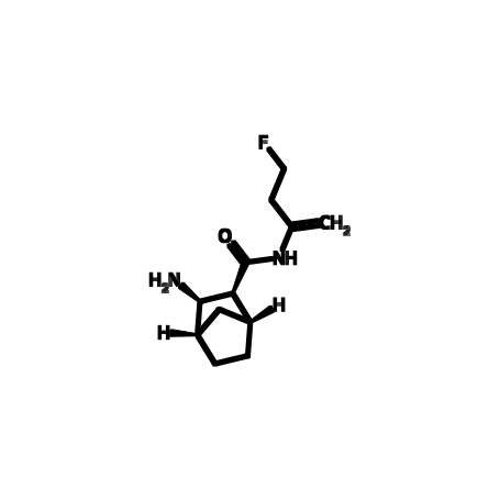 C=C(CCF)NC(=O)[C@H]1[C@@H]2CC[C@@H](C2)[C@H]1N